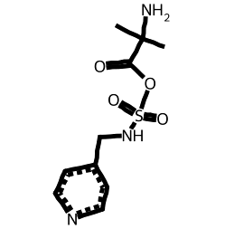 CC(C)(N)C(=O)OS(=O)(=O)NCc1ccncc1